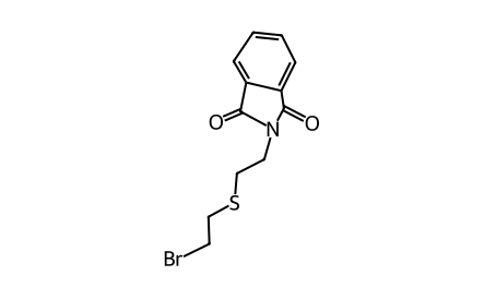 O=C1c2ccccc2C(=O)N1CCSCCBr